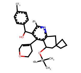 CC(C)c1nc2c(c(C3=CCOCC3)c1C(O)c1ccc(C(F)(F)F)cc1)C(O[Si](C)(C)C(C)(C)C)CC1(CCC1)C2